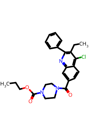 CCCOC(=O)N1CCN(C(=O)c2ccc3c(Cl)c(CC)c(-c4ccccc4)nc3c2)CC1